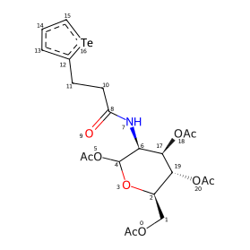 CC(=O)OC[C@H]1OC(OC(C)=O)[C@@H](NC(=O)CCc2ccc[te]2)[C@@H](OC(C)=O)[C@@H]1OC(C)=O